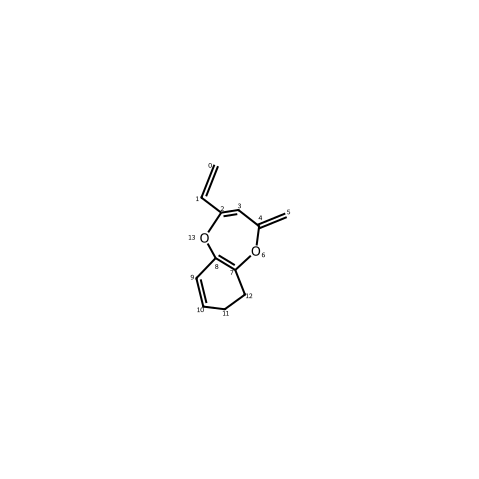 C=CC1=CC(=C)OC2=C(C=CCC2)O1